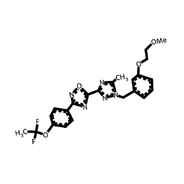 COCCOc1cccc(Cn2nc(-c3nc(-c4ccc(OC(C)(F)F)cc4)no3)nc2C)c1